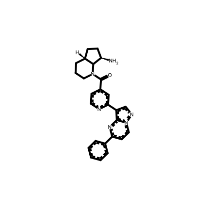 N[C@@H]1CC[C@H]2CCCN(C(=O)c3ccnc(-c4cnn5ccc(-c6ccccc6)nc45)c3)C21